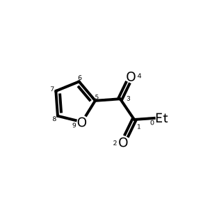 CCC(=O)C(=O)c1ccco1